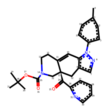 Cc1ccc(-n2ncc3c2C=C2CCN(C(=O)OC(C)(C)C)C[C@@]2(C(=O)c2ccccn2)C3)cc1